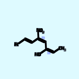 C/C=C(O)\C=C(/C=CCC)[N+](=O)[O-]